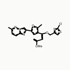 C=C(/C=C(/OCc1csc(Cl)n1)c1cc(-c2cn3nc(C)ccc3n2)oc1C)OC